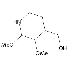 COC1NCCC(CO)C1OC